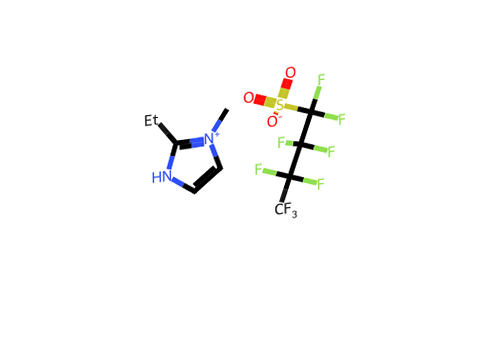 CCc1[nH]cc[n+]1C.O=S(=O)([O-])C(F)(F)C(F)(F)C(F)(F)C(F)(F)F